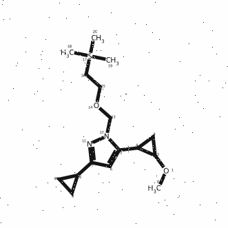 COC1CC1c1cc(C2CC2)nn1COCCS(C)(C)C